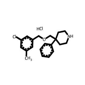 Cc1cc(Cl)cc(COCC2(c3ccccc3)CCNCC2)c1.Cl